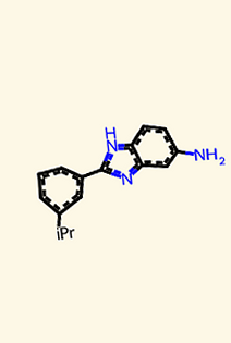 CC(C)c1cccc(-c2nc3cc(N)ccc3[nH]2)c1